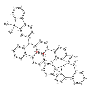 CC1(C)c2ccccc2-c2ccc(N(c3ccc(-c4cccc5c4-c4ccccc4C54c5ccccc5-c5ccccc5-c5ccccc54)cc3)c3ccccc3-c3ccccc3)cc21